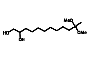 CO[Si](C)(CCCCCCCCC(O)CO)OC